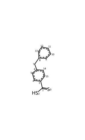 S=C(S)c1ccc(Cc2ccccc2)cc1